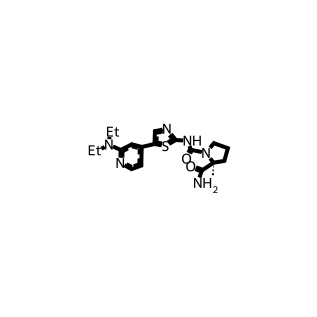 CCN(CC)c1cc(-c2cnc(NC(=O)N3CCC[C@@]3(C)C(N)=O)s2)ccn1